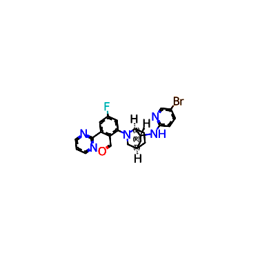 O=Cc1c(-c2ncccn2)cc(F)cc1N1C[C@@H]2CC[C@H]1[C@H](Nc1ccc(Br)cn1)C2